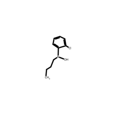 CCCCN(O)c1ccccc1Cl